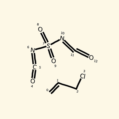 C=CCCl.O=C=NS(=O)(=O)N=C=O